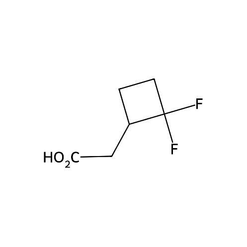 O=C(O)CC1CCC1(F)F